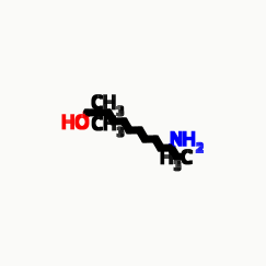 CCC(N)CCCCCCCCC(C)(C)CO